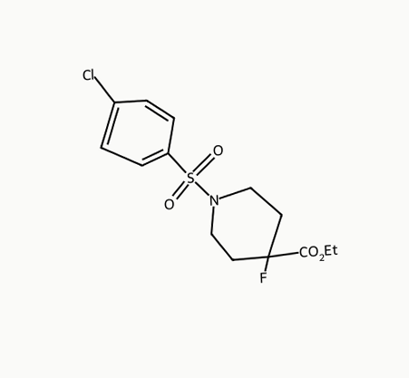 CCOC(=O)C1(F)CCN(S(=O)(=O)c2ccc(Cl)cc2)CC1